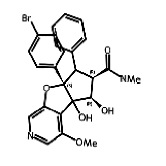 CNC(=O)[C@@H]1C(c2ccccc2)[C@@]2(c3ccc(Br)cc3)Oc3cncc(OC)c3C2(O)[C@@H]1O